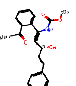 COC(=O)c1ccccc1C(=C[C@H](O)CCc1ccccc1)NC(=O)OC(C)(C)C